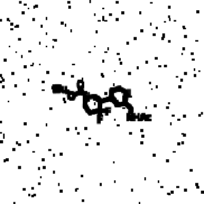 CC(=O)NCc1cc(C2CN(C(=O)OC(C)(C)C)CCC2(F)F)ccn1